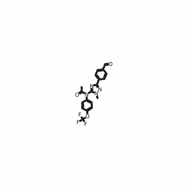 CC(=O)N(c1ccc(OC(F)(F)F)cc1)c1nc(-c2ccc(C=O)cc2)nn1C